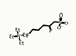 CC[N+](CC)(CC)CC.O=S(=O)([O-])CC(F)CCCF